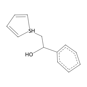 OC(C[SH]1C=CC=C1)c1ccccc1